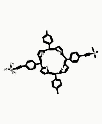 Cc1ccc(C2=C3C=CC(=N3)C(c3ccc(C#C[Si](C(C)C)(C(C)C)C(C)C)cc3)=C3C=CC(=N3)C(c3ccc(C)cc3)=C3C=CC(=N3)C(c3ccc(C#C[Si](C)(C)C)cc3)=C3C=CC2=N3)cc1